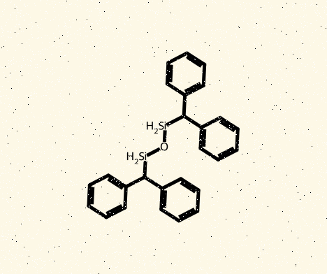 c1ccc(C([SiH2]O[SiH2]C(c2ccccc2)c2ccccc2)c2ccccc2)cc1